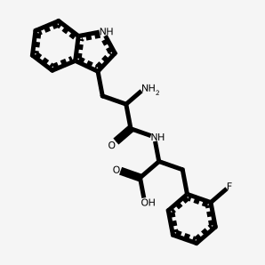 NC(Cc1c[nH]c2ccccc12)C(=O)NC(Cc1ccccc1F)C(=O)O